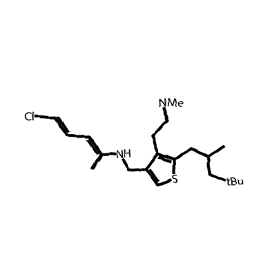 CNCCc1c(CN/C(C)=C/C=C/Cl)csc1CC(C)CC(C)(C)C